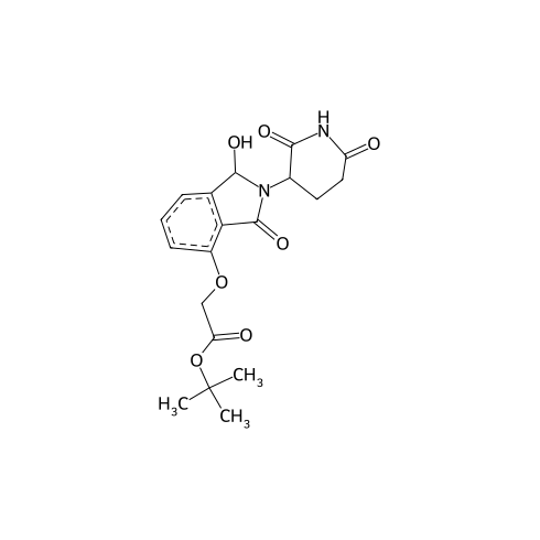 CC(C)(C)OC(=O)COc1cccc2c1C(=O)N(C1CCC(=O)NC1=O)C2O